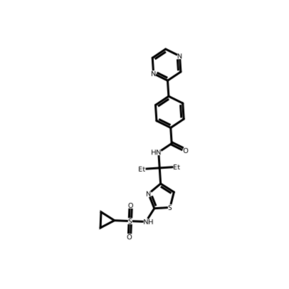 CCC(CC)(NC(=O)c1ccc(-c2cnccn2)cc1)c1csc(NS(=O)(=O)C2CC2)n1